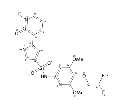 COc1nc(NS(=O)(=O)c2c[nH]c(-c3cccn(C)c3=O)c2)nc(OC)c1OCC(F)F